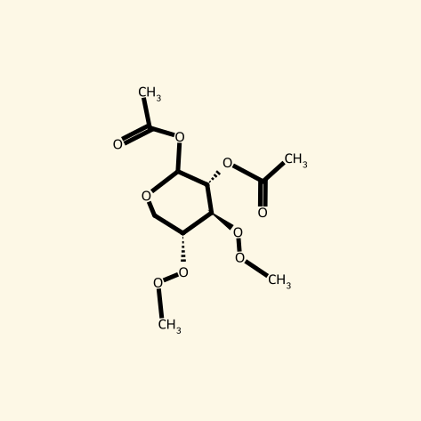 COO[C@H]1[C@H](OOC)COC(OC(C)=O)[C@@H]1OC(C)=O